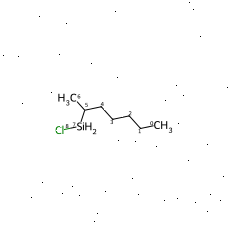 CCCCCC(C)[SiH2]Cl